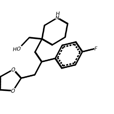 OCC1(CC(CC2OCCO2)c2ccc(F)cc2)CCCNC1